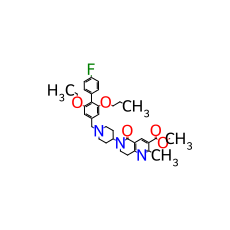 CCCOc1cc(CN2CCC(N3CCc4nc(C)c(C(=O)OC)cc4C3=O)CC2)cc(OCC)c1-c1ccc(F)cc1